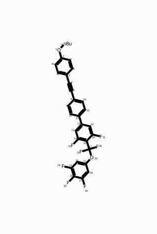 CCCCOc1ccc(C#Cc2ccc(-c3cc(F)c(C(F)(F)Oc4cc(F)c(F)c(F)c4)c(F)c3)cc2)cc1